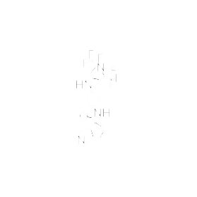 CN1CCc2c(cccc2C(=O)NC2CCC(Nc3cc(C(F)(F)F)nc(C(F)(F)F)c3)CC2)C1